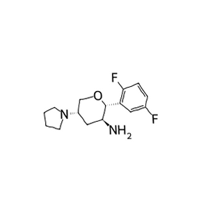 N[C@H]1C[C@H](N2CCCC2)CO[C@@H]1c1cc(F)ccc1F